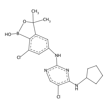 CC1(C)OB(O)c2c(Cl)cc(Nc3ncc(Cl)c(NC4CCCC4)n3)cc21